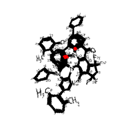 Cc1cccc(C)c1-c1ccc2c(c1)N(c1ccccc1)c1cc(-c3c(C)cccc3C)ccc1N2c1c(C#N)c2c(c(C(=O)c3ccccc3)c1-n1c3ccccc3c3cc(-c4ccccc4)ccc31)C(F)(F)CC2(F)F